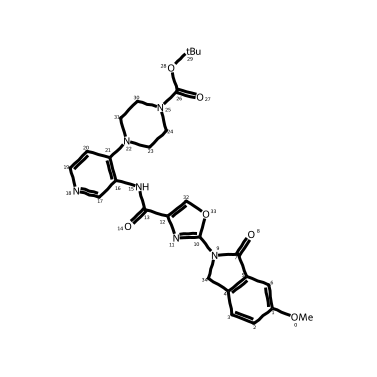 COc1ccc2c(c1)C(=O)N(c1nc(C(=O)Nc3cnccc3N3CCN(C(=O)OC(C)(C)C)CC3)co1)C2